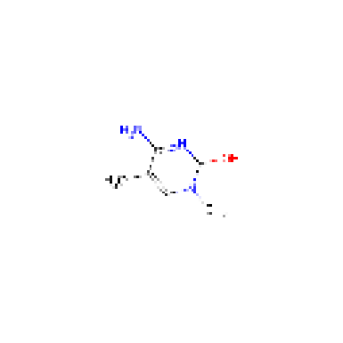 [CH2]N1C=C(C)C(N)=NC1O